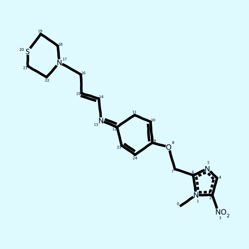 Cn1c([N+](=O)[O-])cnc1COC1=CCC(=NC=CCN2CCSCC2)C=C1